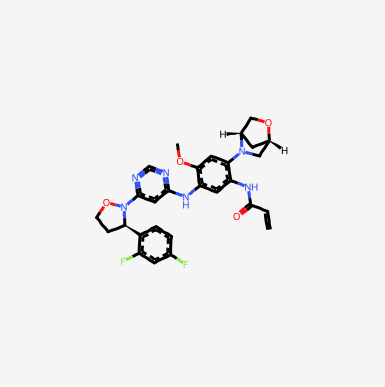 C=CC(=O)Nc1cc(Nc2cc(N3OCC[C@@H]3c3ccc(F)cc3F)ncn2)c(OC)cc1N1C[C@@H]2C[C@H]1CO2